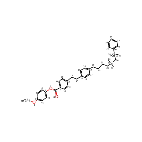 CCCCCCCCOc1ccc(OC(=O)c2ccc(CCc3ccc(CCCC[Si](C)(C)C[Si](C)(C)c4ccccc4)cc3)cc2)cc1